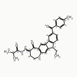 CCn1c2ccc(C(=O)c3ccc(C)cc3)cc2c2cc3c(cc21)OCC/C(=N\OC(=O)C(C)C)C3=O